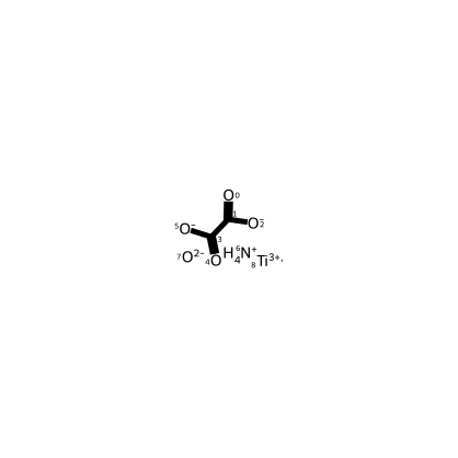 O=C([O-])C(=O)[O-].[NH4+].[O-2].[Ti+3]